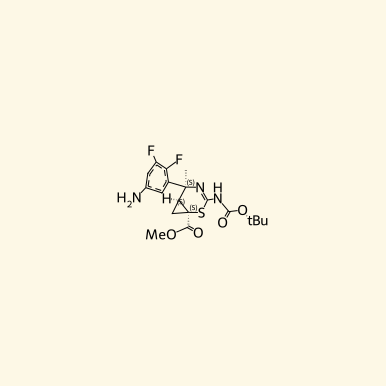 COC(=O)[C@]12C[C@H]1[C@@](C)(c1cc(N)cc(F)c1F)N=C(NC(=O)OC(C)(C)C)S2